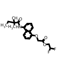 CCC(C)(C)C(=O)Nc1cccc2c(OCC(=O)OCC(F)F)cccc12